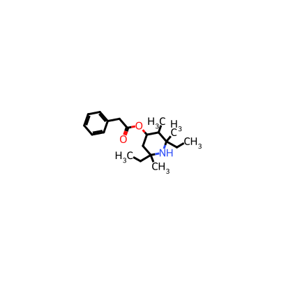 CCC1(C)CC(OC(=O)Cc2ccccc2)C(C)C(C)(CC)N1